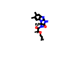 Cc1cc2nc3n(c2cc1C)C(NC(=O)[C@H](C)OCCC(C)C)(C(F)(F)F)C(=O)N3